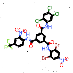 O=C(Nc1cc(Cl)c(Cl)cc1Cl)c1cc(C(=O)Nc2ccc(C(F)(F)F)cc2[N+](=O)[O-])cc(C(=O)Nc2c(Br)cc([N+](=O)[O-])cc2Br)c1